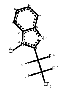 FC(F)(F)C(F)(F)C(F)(F)c1nc2ccccc2n1Cl